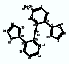 [Pt+2].c1csc(-c2cccn[c]2[Ir+][c]2ncccc2-c2cccs2)c1